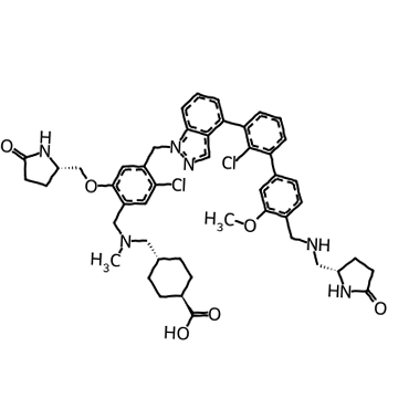 COc1cc(-c2cccc(-c3cccc4c3cnn4Cc3cc(OC[C@@H]4CCC(=O)N4)c(CN(C)C[C@H]4CC[C@H](C(=O)O)CC4)cc3Cl)c2Cl)ccc1CNC[C@@H]1CCC(=O)N1